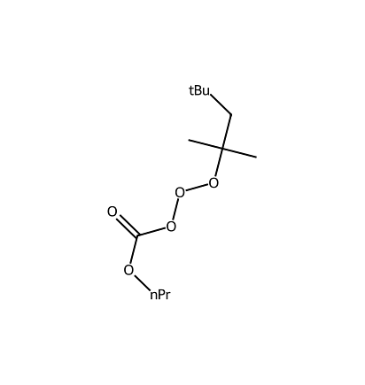 CCCOC(=O)OOOC(C)(C)CC(C)(C)C